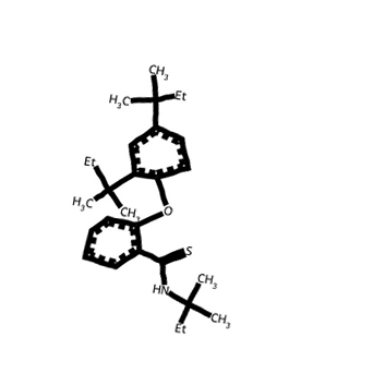 CCC(C)(C)NC(=S)c1ccccc1Oc1ccc(C(C)(C)CC)cc1C(C)(C)CC